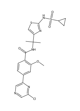 COc1cc(-c2cncc(Cl)n2)ccc1C(=O)NC(C)(C)c1csc(NS(=O)(=O)C2CC2)n1